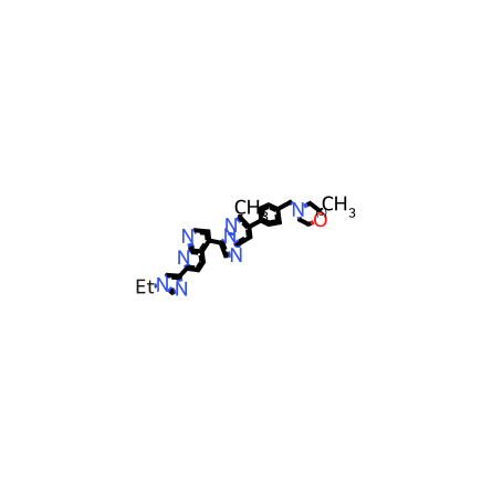 CCn1cnc(-c2ccc3c(-c4cnc5cc(-c6ccc(CN7CCO[C@@H](C)C7)cc6)c(C)nn45)ccnc3n2)c1